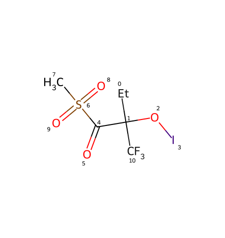 CCC(OI)(C(=O)S(C)(=O)=O)C(F)(F)F